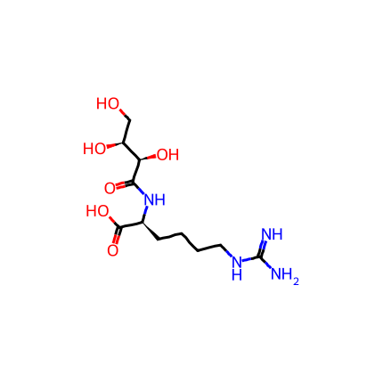 N=C(N)NCCCC[C@H](NC(=O)[C@H](O)[C@@H](O)CO)C(=O)O